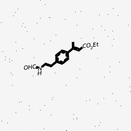 CCOC(=O)/C=C(\C)c1ccc(CCNC=O)cc1